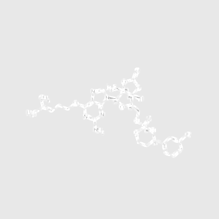 CC(C)=CCCOc1nc(N)nc2c1ncn2[C@@H]1O[C@H](CO[P@@]2(=O)OCC[C@@H](c3cccc(Cl)c3)O2)[C@H]2OC(=O)O[C@]21C